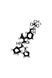 CS(=O)(=O)NCc1cccc(C2(C(=O)N[C@H](CN3CCCC3)c3ccccc3)CC2)c1